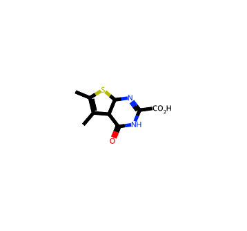 CC1=C(C)C2C(=O)NC(C(=O)O)=NC2S1